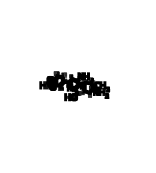 CC1(N)CCN(c2c(N)cc(-c3ccc4c(c3)ONO4)nc2CO)CC1